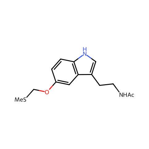 CSCOc1ccc2[nH]cc(CCNC(C)=O)c2c1